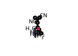 C=C(C)/C=C\C(NC1CCC=C[C@@]1(C)C1C=CC=CC1C)=C(/C)c1cccc(-c2ccc(N3c4ccc(C#N)cc4C4C=CC=CC43)c(C#N)c2)c1